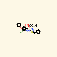 O=C(Nc1nnc(Cc2ccccc2)s1)c1ccc(OC2CCCCC2)c(Cl)c1.O=C(O)O